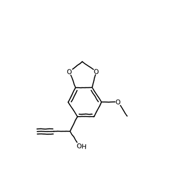 C#CC(O)c1cc(OC)c2c(c1)OCO2